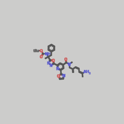 C=C(/C=C\C=C(\C)N)CN(C)C(=O)c1cc(-c2ncco2)nc(-c2nnc(C(C)(Cc3ccccc3)NC(=O)OC(C)(C)C)o2)c1